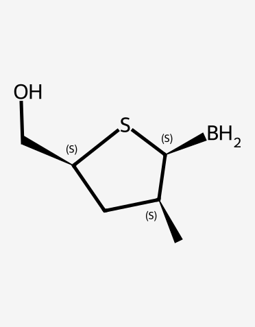 B[C@@H]1S[C@H](CO)C[C@@H]1C